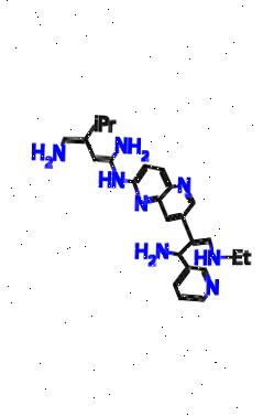 CCN/C=C(/c1cnc2ccc(N/C(N)=C/C(=C\N)C(C)C)nc2c1)C(N)c1cccnc1